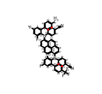 Cc1ccc(-c2cc(F)cc(F)c2N(c2ccc(C#N)cc2)c2ccc3ccc4c(N(c5ccc(C#N)cc5)c5c(F)cc(F)cc5-c5ccc(C(F)(F)F)cc5)ccc5ccc2c3c54)cc1